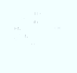 Cc1cc(C)cc(Cc2c(C(C)C)c(=O)[nH]c(=O)n2COC2CCc3ccccc32)c1